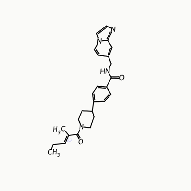 CC/C=C(\C)C(=O)N1CCC(c2ccc(C(=O)NCc3ccn4ccnc4c3)cc2)CC1